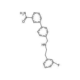 NC(=O)c1cccc(-c2ccc(CNCCc3cccc(F)c3)cc2)c1